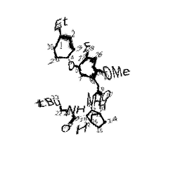 CC[C@H]1CC[C@H](Oc2cc(C(=O)N[C@@H]3[C@H]4CC[C@H](C4)[C@@H]3C(=O)NCC(C)(C)C)c(OC)cc2F)CC1